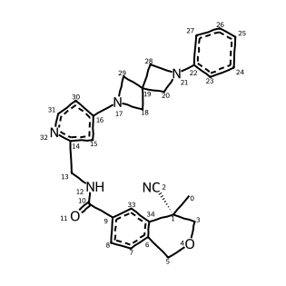 C[C@@]1(C#N)COCc2ccc(C(=O)NCc3cc(N4CC5(CN(c6ccccc6)C5)C4)ccn3)cc21